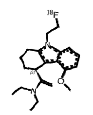 C=C([C@H]1CCCc2c1c1c(OC)cccc1n2CC[18F])N(CC)CC